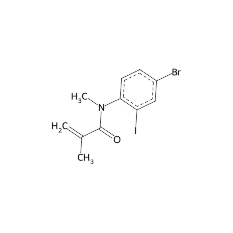 C=C(C)C(=O)N(C)c1ccc(Br)cc1I